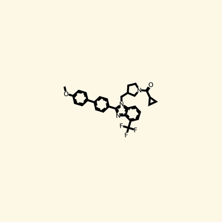 COc1ccc(-c2ccc(-c3nc4c(C(F)(F)F)cccc4n3CC3CCN(C(=O)C4CC4)C3)cc2)cc1